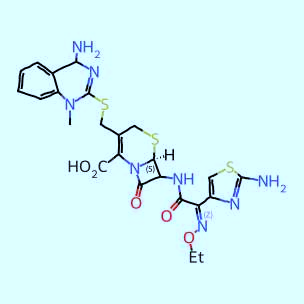 CCO/N=C(\C(=O)NC1C(=O)N2C(C(=O)O)=C(CSC3=NC(N)c4ccccc4N3C)CS[C@@H]12)c1csc(N)n1